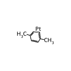 Cc1ccc(C)cc1.[Pt]